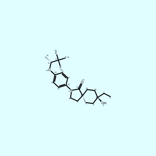 CC[C@]1(O)CC[C@@]2(CCN(c3ccc(O[C@H](C)C(F)(F)F)cc3)C2=O)CC1